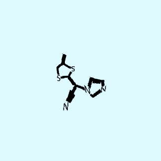 C=C1CSC(=C(C#N)n2ccnc2)S1